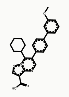 COc1cccc(-c2ccc(-c3cnc4c(C(=O)O)cnn4c3C3CCCCC3)cc2)c1